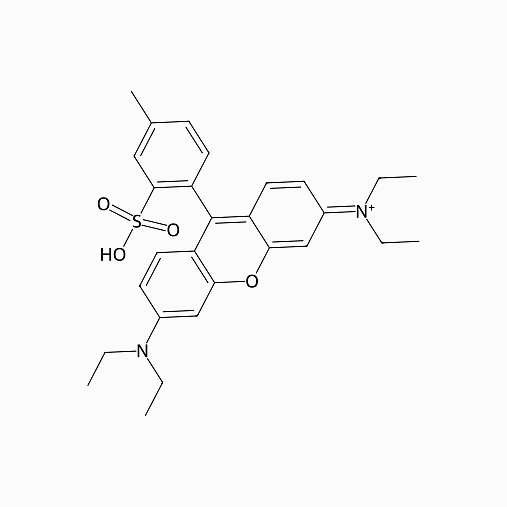 CCN(CC)c1ccc2c(-c3ccc(C)cc3S(=O)(=O)O)c3ccc(=[N+](CC)CC)cc-3oc2c1